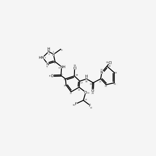 CN1NNN=C1NC(=O)c1ccc(OC(F)F)c(NC(=O)c2cccc(Cl)n2)c1Cl